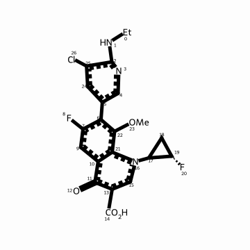 CCNc1ncc(-c2c(F)cc3c(=O)c(C(=O)O)cn(C4C[C@@H]4F)c3c2OC)cc1Cl